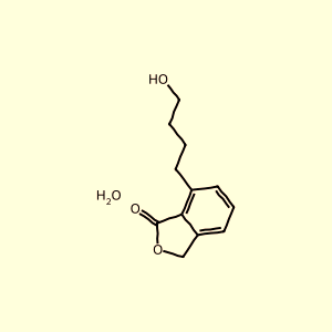 O.O=C1OCc2cccc(CCCCO)c21